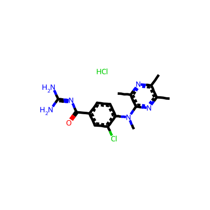 Cc1nc(C)c(N(C)c2ccc(C(=O)N=C(N)N)cc2Cl)nc1C.Cl